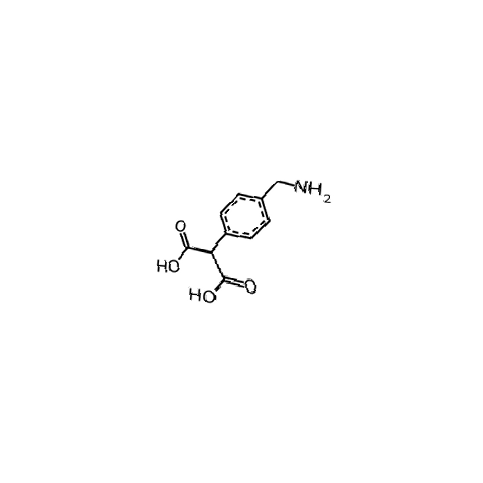 NCc1ccc(C(C(=O)O)C(=O)O)cc1